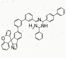 NC(NC(/N=C/c1cccc(-c2cccc(-c3ccc4c(c3)C3(c5ccccc5Oc5ccccc53)c3ncccc3-4)c2)c1)c1ccc(-c2ccccc2)cc1)c1ccccc1